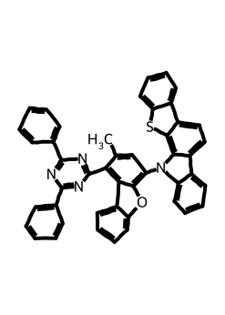 Cc1cc(-n2c3ccccc3c3ccc4c5ccccc5sc4c32)c2oc3ccccc3c2c1-c1nc(-c2ccccc2)nc(-c2ccccc2)n1